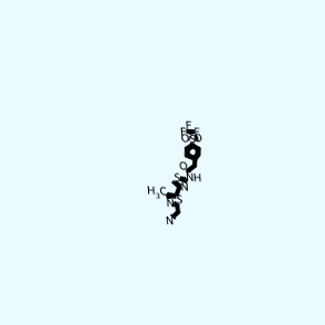 Cc1nc(CC#N)sc1-c1csc(NC(=O)Cc2ccc(S(=O)(=O)C(F)(F)F)cc2)n1